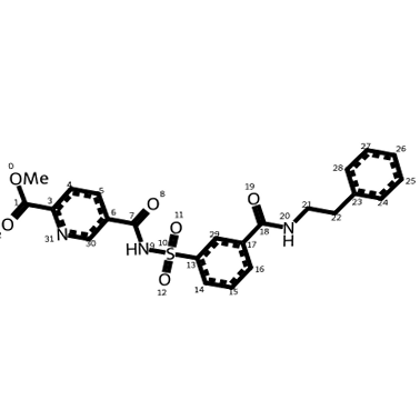 COC(=O)c1ccc(C(=O)NS(=O)(=O)c2cccc(C(=O)NCCc3ccccc3)c2)cn1